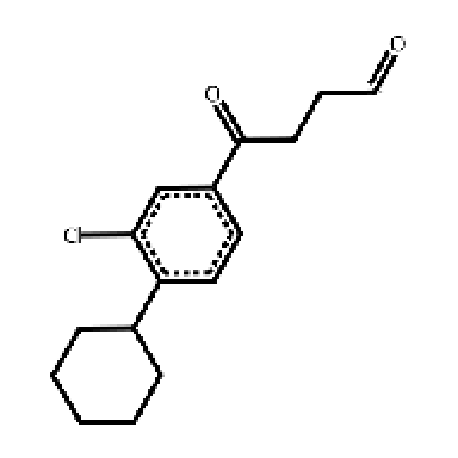 O=[C]CCC(=O)c1ccc(C2CCCCC2)c(Cl)c1